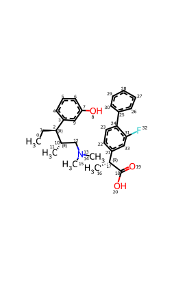 CC[C@@H](c1cccc(O)c1)[C@@H](C)CN(C)C.C[C@@H](C(=O)O)c1ccc(-c2ccccc2)c(F)c1